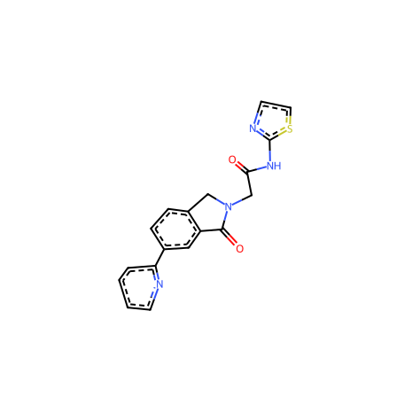 O=C(CN1Cc2ccc(-c3ccccn3)cc2C1=O)Nc1nccs1